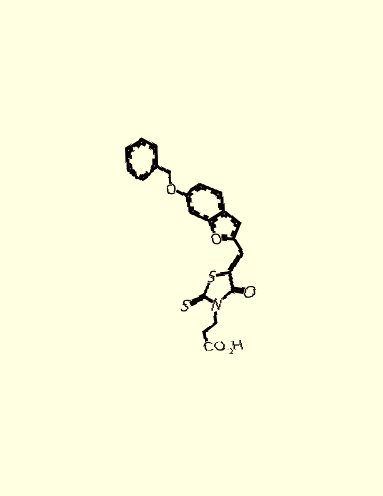 O=C(O)CCN1C(=O)C(=Cc2cc3ccc(OCc4ccccc4)cc3o2)SC1=S